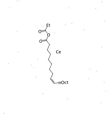 CCCCCCCC/C=C\CCCCCCCC(=O)OC(=O)CC.[Ce]